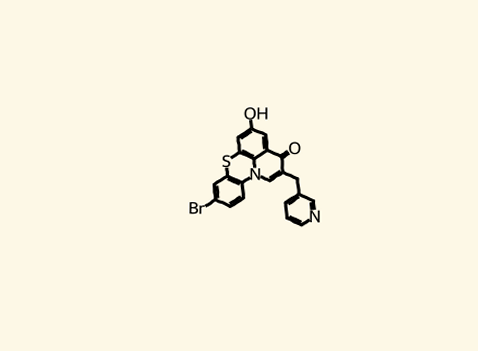 O=c1c(Cc2cccnc2)cn2c3c(cc(O)cc13)Sc1cc(Br)ccc1-2